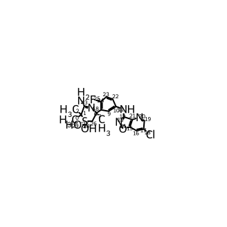 CC1(C)C(N)=N[C@](C)(c2cc(Nc3noc4cc(Cl)cnc34)ccc2F)CS1(O)O